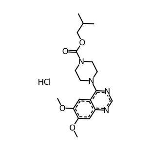 COc1cc2ncnc(N3CCN(C(=O)OCC(C)C)CC3)c2cc1OC.Cl